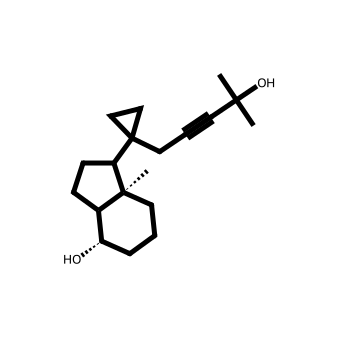 CC(C)(O)C#CCC1(C2CCC3[C@@H](O)CCC[C@@]32C)CC1